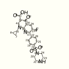 O=C(O)c1cn(C2CC2)c2nc(-c3ccc(S(=O)(=O)N4CCNCC4)cc3)c(F)cc2c1=O